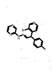 Fc1ccc(C(C=NNc2cnccn2)c2ccncc2Br)cc1